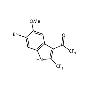 COc1cc2c(C(=O)C(F)(F)F)c(C(F)(F)F)[nH]c2cc1Br